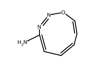 Nc1ccccconn1